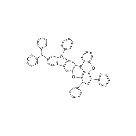 c1ccc(-c2cc(-c3ccccc3)c3c4c2Oc2ccccc2B4c2cc4c(cc2O3)c2ccc(N(c3ccccc3)c3ccccc3)cc2n4-c2ccccc2)cc1